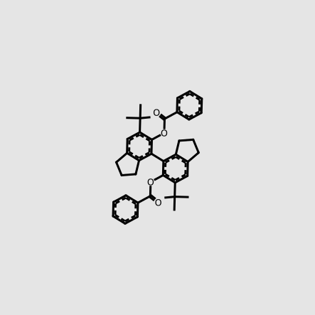 CC(C)(C)c1cc2c(c(-c3c4c(cc(C(C)(C)C)c3OC(=O)c3ccccc3)CCC4)c1OC(=O)c1ccccc1)CCC2